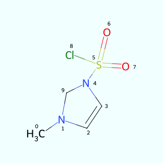 CN1C=CN(S(=O)(=O)Cl)C1